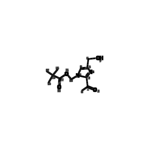 CC(=O)c1nc(CO)cn1COC(=O)C(C)(C)C